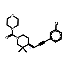 CC1(C)CN(C(=O)N2CCOCC2)CC/C1=C\C#Cc1cccc(Cl)c1